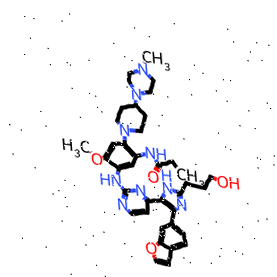 CCC(=O)Nc1cc(Nc2nccc(-c3[nH]c(CCCO)nc3-c3ccc4ccoc4c3)n2)c(OC)cc1N1CCC(N2CCN(C)CC2)CC1